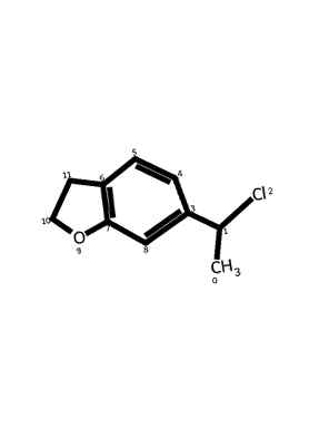 CC(Cl)c1ccc2c(c1)OCC2